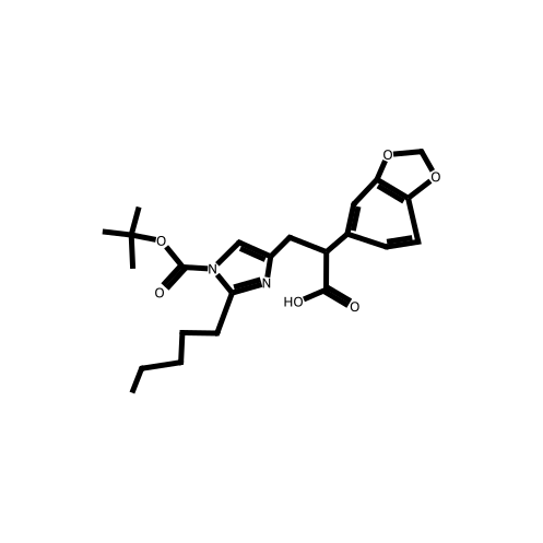 CCCCCc1nc(CC(C(=O)O)c2ccc3c(c2)OCO3)cn1C(=O)OC(C)(C)C